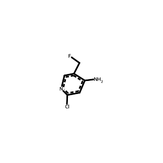 Nc1cc(Cl)ncc1CF